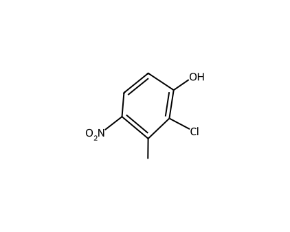 Cc1c([N+](=O)[O-])ccc(O)c1Cl